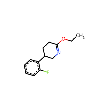 CCOC1=NCC(c2ccccc2F)CC1